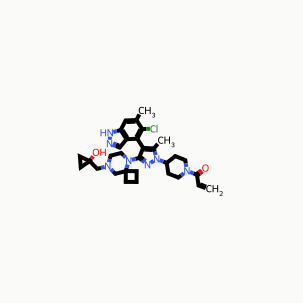 C=CC(=O)N1CCC(n2nc(N3CCN(CC4(O)CC4)CC34CCC4)c(-c3c(Cl)c(C)cc4[nH]ncc34)c2C)CC1